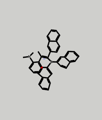 C/C(=C(/B(c1ccc2ccccc2c1)c1ccc2ccccc2c1)c1ccc2ccccc2c1)c1ccccc1N(C)C